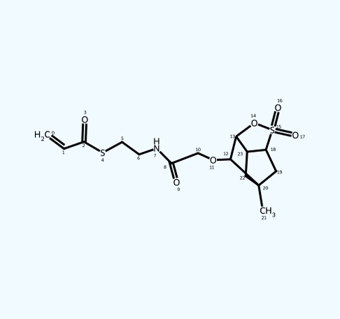 C=CC(=O)SCCNC(=O)COC1C2OS(=O)(=O)C3CC1(C)CC23